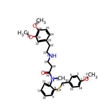 COc1ccc(CSc2ccccc2N(C)C(=O)CCNCCc2ccc(OC)c(OC)c2)cc1